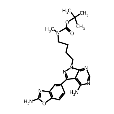 CN(CCCCn1nc(-c2ccc3oc(N)nc3c2)c2c(N)ncnc21)C(=O)OC(C)(C)C